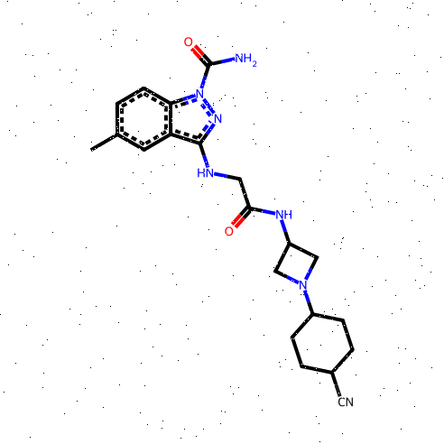 Cc1ccc2c(c1)c(NCC(=O)NC1CN(C3CCC(C#N)CC3)C1)nn2C(N)=O